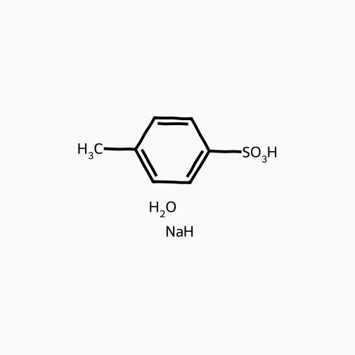 Cc1ccc(S(=O)(=O)O)cc1.O.[NaH]